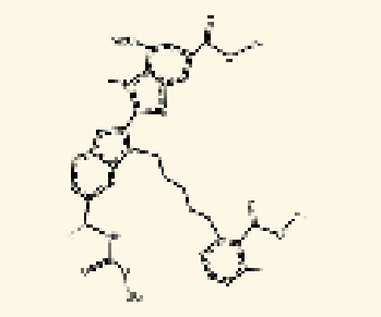 COc1cc(C(=O)OC(C)C)cc2nc(-c3cc4ccc([C@@H](C)NC(=O)OC(C)(C)C)nc4n3CCCCCc3nccc(F)c3C(=O)OC(C)(C)C)n(C)c12